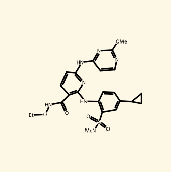 CCONC(=O)c1ccc(Nc2ccnc(OC)n2)nc1Nc1ccc(C2CC2)cc1S(=O)(=O)NC